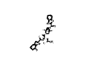 CC(C)C[C@H](NC(=O)c1cc2cccc(F)c2[nH]1)C(=O)N1C[C@@H]2C[C@H]1CN2C(=O)c1nc2ccccc2[nH]1